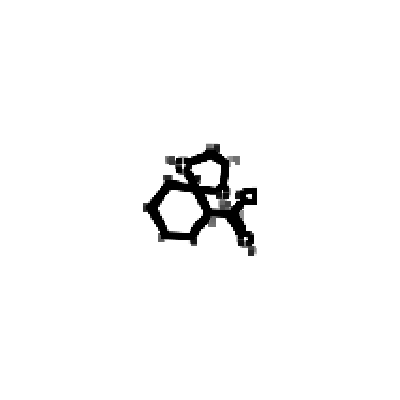 O=C(Cl)C1CCCCC12OCCO2